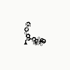 O=C(NC1(C(=O)O)C2CC3CC(C2)CC1C3)c1ccc(-c2cn(CC3CC3)c3cc(OC4CCN(c5ncccn5)CC4)ccc23)nc1C(F)(F)F